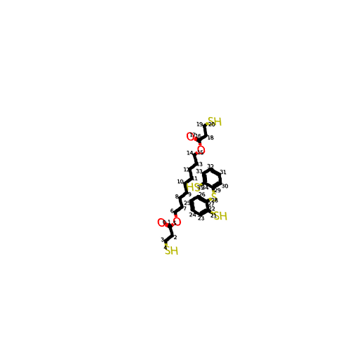 O=C(CCS)OCCCCCCCCCOC(=O)CCS.Sc1ccccc1Sc1ccccc1S